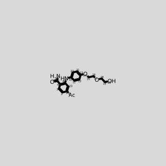 CC(=O)c1ccc(C(N)=O)c(Nc2ccc(OCCOCCO)cc2)c1